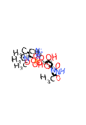 CON(C)[C@H](C(=O)OP(=O)(O)OC(ON=[N+]=[N-])[C@H]1O[C@@H](n2cc(C)c(=O)[nH]c2=O)C[C@@H]1O)C(C)C